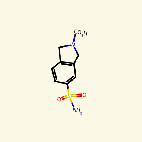 NS(=O)(=O)c1ccc2c(c1)CN(C(=O)O)C2